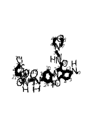 CNc1ccc2c(=O)n(-c3ccc(NC(=O)NS(=O)(=O)c4ccc(Cl)s4)cc3F)cc(C(=O)NCCN3CCOCC3)c2c1